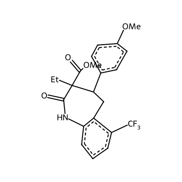 CCC1(C(=O)OC)C(=O)Nc2cccc(C(F)(F)F)c2CC1c1ccc(OC)cc1